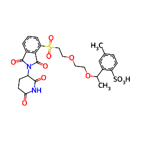 Cc1ccc(S(=O)(=O)O)c(C(C)OCCOCCS(=O)(=O)c2cccc3c2C(=O)N(C2CCC(=O)NC2=O)C3=O)c1